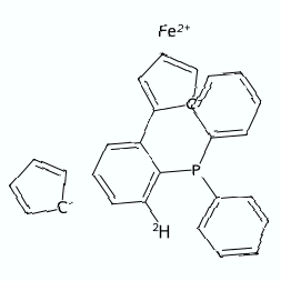 [2H]c1cccc(-c2ccc[cH-]2)c1P(c1ccccc1)c1ccccc1.[Fe+2].c1cc[cH-]c1